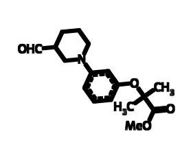 COC(=O)C(C)(C)Oc1cccc(N2CCCC(C=O)C2)c1